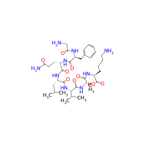 CC(C)C[C@H](NC(=O)[C@H](CCC(N)=O)NC(=O)[C@H](Cc1ccccc1)NC(=O)CN)C(=O)N[C@H](C(=O)N[C@@H](C)C(=O)N[C@@H](CCCCN)C(=O)O)C(C)C